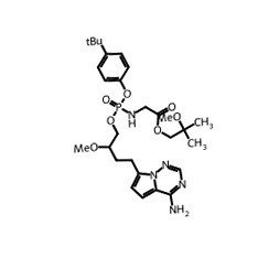 COC(CCc1ccc2c(N)ncnn12)COP(=O)(NCC(=O)OCC(C)(C)OC)Oc1ccc(C(C)(C)C)cc1